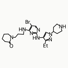 CCc1nn(C2CCNCC2)cc1Nc1ncc(Br)c(NCCCN2CCCCC2=O)n1